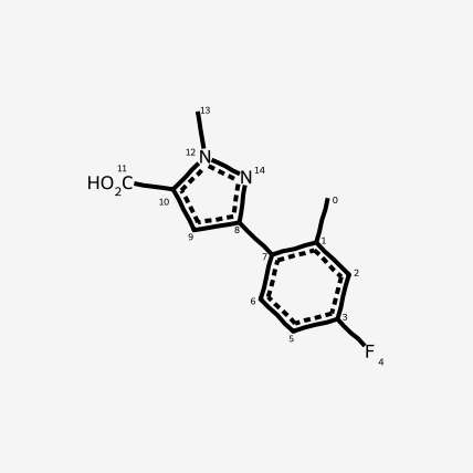 Cc1cc(F)ccc1-c1cc(C(=O)O)n(C)n1